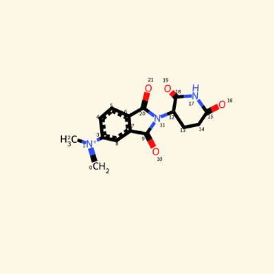 C=[N+](C)c1ccc2c(c1)C(=O)N(C1CCC(=O)NC1=O)C2=O